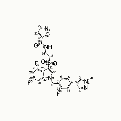 Cn1cc(-c2ccc(Cn3cc(S(=O)(=O)CCNC(=O)c4ccno4)c4c(F)cc(F)cc43)c(F)c2)cn1